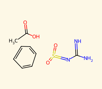 CC(=O)O.N=C(N)N=S(=O)=O.c1ccccc1